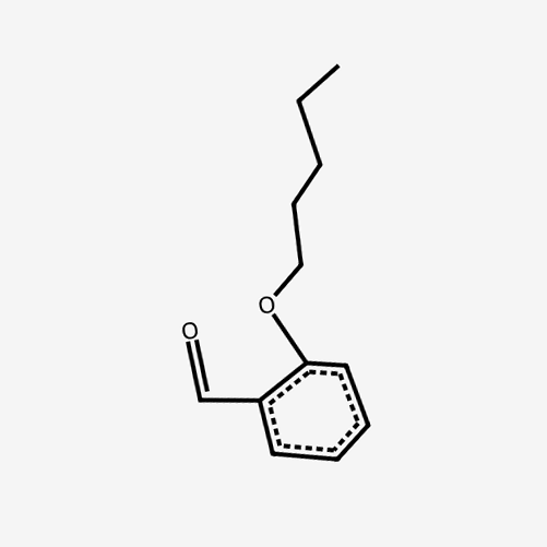 CCCCCOc1ccccc1C=O